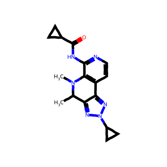 CC1c2nn(C3CC3)nc2-c2ccnc(NC(=O)C3CC3)c2N1C